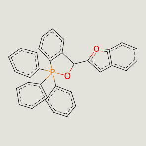 c1ccc(P2(c3ccccc3)(c3ccccc3)OC(c3cc4ccccc4o3)c3ccccc32)cc1